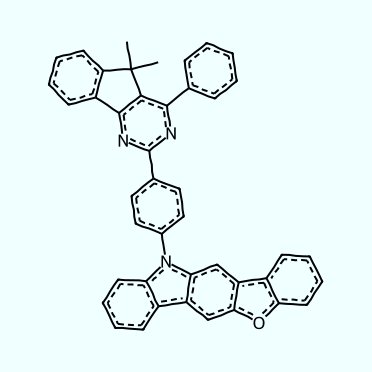 CC1(C)c2ccccc2-c2nc(-c3ccc(-n4c5ccccc5c5cc6oc7ccccc7c6cc54)cc3)nc(-c3ccccc3)c21